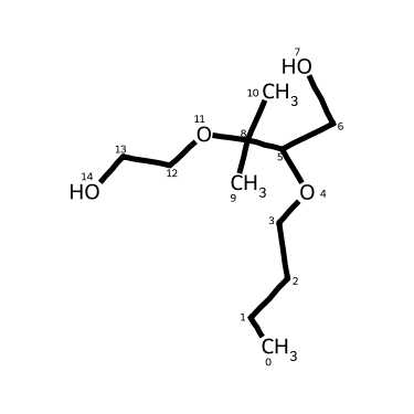 CCCCOC(CO)C(C)(C)OCCO